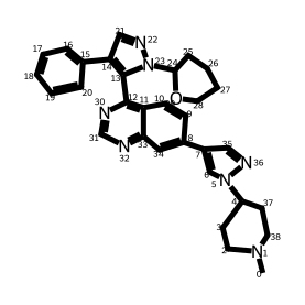 CN1CCC(n2cc(-c3ccc4c(-c5c(-c6ccccc6)cnn5C5CCCCO5)ncnc4c3)cn2)CC1